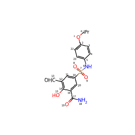 CC(C)Oc1ccc(NS(=O)(=O)c2cc(C=O)c(O)c(C(N)=O)c2)cc1